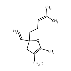 C=CC1(CCC=C(C)C)CC(C(=O)OCC)=C(C)O1